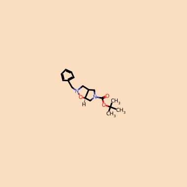 CC(C)(C)OC(=O)N1CC2CN(Cc3ccccc3)O[C@@H]2C1